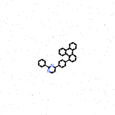 c1ccc(-c2nccc(-c3ccc(-c4cccc5c6ccccc6c6ccccc6c45)cc3)n2)cc1